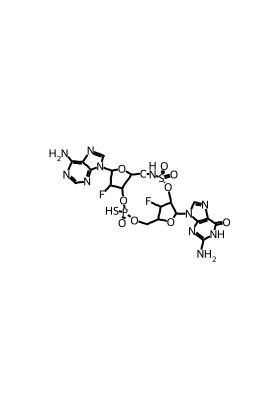 Nc1nc2c(ncn2C2OC3COP(=O)(S)OC4C(CNS(=O)(=O)OC2C3F)OC(n2cnc3c(N)ncnc32)C4F)c(=O)[nH]1